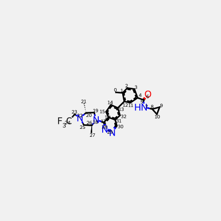 Cc1ccc(C(=O)NC2CC2)cc1-c1ccc2c(N3C[C@@H](C)N(CC(F)(F)F)C[C@@H]3C)nncc2c1